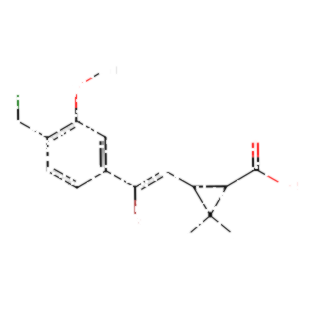 COc1cc(/C(Br)=C/C2C(C(=O)O)C2(C)C)ccc1CCl